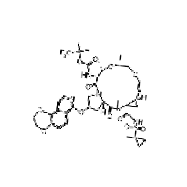 C[C@H]1CC/C=C\[C@@H]2C[C@@]2(C(=O)NS(=O)(=O)C2(C)CC2)NC(=O)[C@@H]2CC(Oc3nccc4c5c(ccc34)OCCO5)CN2C(=O)[C@@H](NC(=O)OC(C)(C)C(F)(F)F)[C@H](C)C1